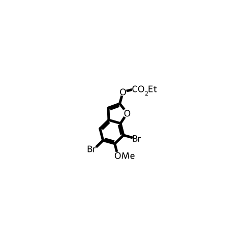 CCOC(=O)Oc1cc2cc(Br)c(OC)c(Br)c2o1